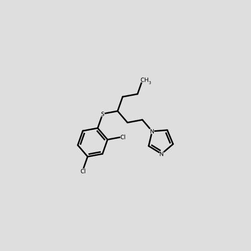 CCCC(CCn1ccnc1)Sc1ccc(Cl)cc1Cl